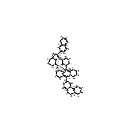 O=S1(=O)c2c(-c3c4ccccc4c(-c4ccc5ccc6ccccc6c5c4)c4ccccc34)cccc2-n2c(-c3ccc4ccccc4c3)nc3cccc1c32